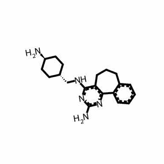 Nc1nc(NC[C@H]2CC[C@H](N)CC2)c2c(n1)-c1ccccc1CCC2